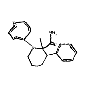 CC1(C(N)=O)C(c2ccccc2)CCCN1c1ccncc1